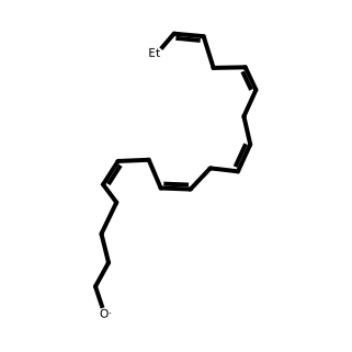 CC/C=C\C/C=C\C/C=C\C/C=C\C/C=C\CCCC[O]